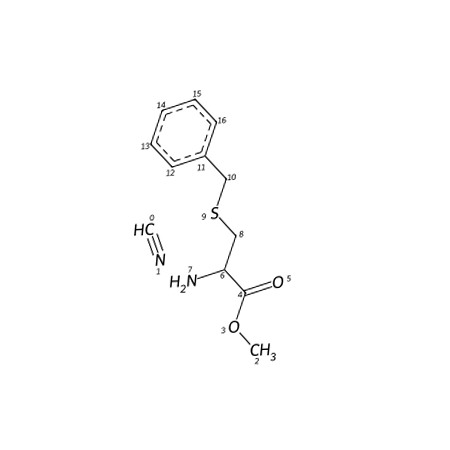 C#N.COC(=O)C(N)CSCc1ccccc1